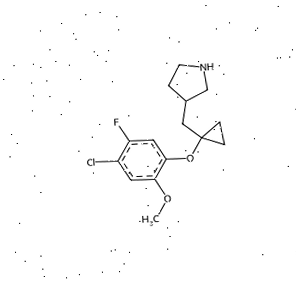 COc1cc(Cl)c(F)cc1OC1(CC2CCNC2)CC1